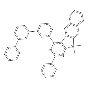 C[Si]1(C)c2cc3ccccc3cc2-c2c(-c3cccc(-c4cccc(-c5ccccc5)c4)c3)nc(-c3ccccc3)nc21